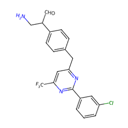 NCC(C=O)c1ccc(Cc2cc(C(F)(F)F)nc(-c3cccc(Cl)c3)n2)cc1